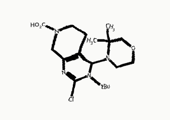 CC(C)(C)N1C(Cl)=NC2=C(CCN(C(=O)O)C2)C1N1CCOCC1(C)C